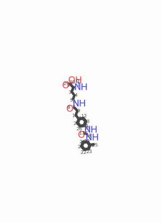 CNC(CCCNC(=O)CCc1ccc(NC(=O)Nc2ccccc2C)cc1)C(=O)O